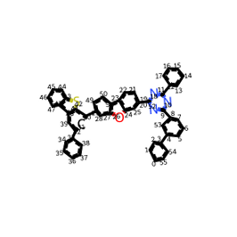 c1ccc(-c2cccc(-c3nc(-c4ccccc4)nc(-c4ccc5c(c4)oc4cc(-c6cc(-c7ccccc7)cc7c6sc6ccccc67)ccc45)n3)c2)cc1